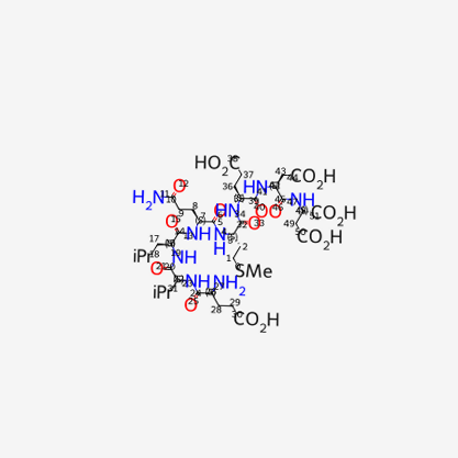 CSCC[C@H](NC(=O)[C@H](CCC(N)=O)NC(=O)[C@H](CC(C)C)NC(=O)[C@@H](NC(=O)[C@@H](N)CCC(=O)O)C(C)C)C(=O)N[C@@H](CCC(=O)O)C(=O)N[C@@H](CC(=O)O)C(=O)N[C@@H](CC(=O)O)C(=O)O